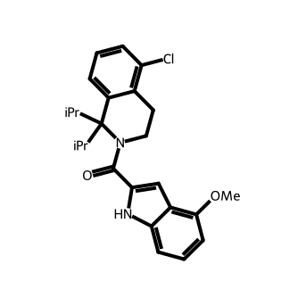 COc1cccc2[nH]c(C(=O)N3CCc4c(Cl)cccc4C3(C(C)C)C(C)C)cc12